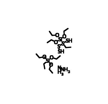 CCO[Si](CC)(OCC)OCC.CCO[Si](OCC)(OCC)S(S)(CC)SS.N.N